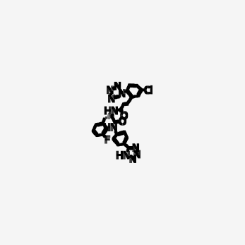 O=C(C=Cc1cc(Cl)ccc1-n1cnnn1)N[C@@H](Cc1cccc(F)c1)C(=O)Nc1ccc(-c2nnn[nH]2)cc1